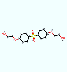 O=S(=O)(C1CCC(OCCO)CC1)C1CCC(OCCO)CC1